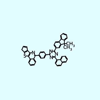 CC1(C)c2ccccc2-c2ccc(-c3nc(-c4ccc(-c5nc6c7c(sc6c6ccccc56)CC=C7)cc4)nc(-c4cccc5ccccc45)n3)cc21